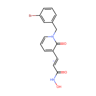 O=C(/C=C/c1cccn(Cc2cccc(Br)c2)c1=O)NO